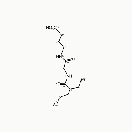 CC(=O)SCC(CC(C)C)C(=O)NCC(=O)NCCCC(=O)O